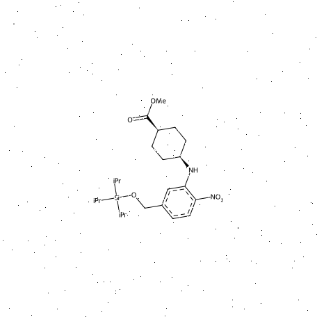 COC(=O)[C@H]1CC[C@@H](Nc2cc(CO[Si](C(C)C)(C(C)C)C(C)C)ccc2[N+](=O)[O-])CC1